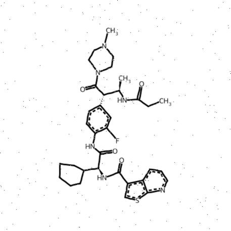 CCC(=O)N[C@H](C)[C@@H](C(=O)N1CCN(C)CC1)c1ccc(NC(=O)[C@@H](NC(=O)c2csc3ncccc23)C2CCCCC2)c(F)c1